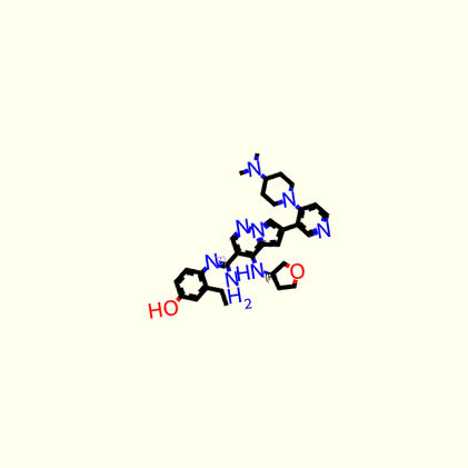 CCc1cc(O)ccc1/N=C(\N)c1cnn2cc(-c3cnccc3N3CCC(N(C)C)CC3)cc2c1N[C@@H]1CCOC1